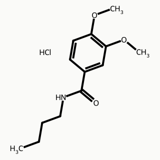 CCCCNC(=O)c1ccc(OC)c(OC)c1.Cl